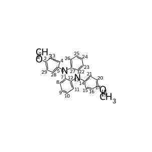 COc1ccc(N2c3ccccc3N(c3ccc(OC)cc3)c3ccccc32)cc1